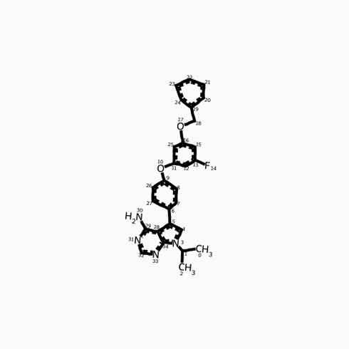 CC(C)n1cc(-c2ccc(Oc3cc(F)cc(OCc4ccccc4)c3)cc2)c2c(N)ncnc21